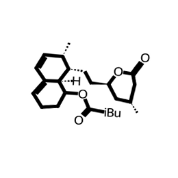 CCC(C)C(=O)OC1CCC=C2C=C[C@H](C)[C@H](CC[C@@H]3C[C@@H](C)CC(=O)O3)[C@H]21